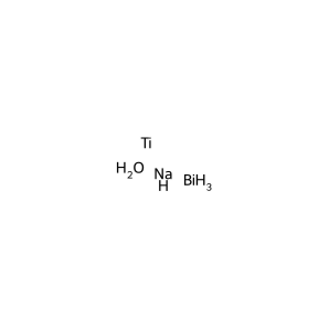 O.[BiH3].[NaH].[Ti]